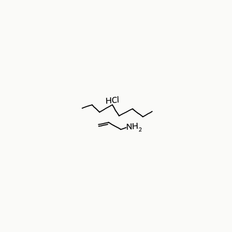 C=CCN.CCCCCCCC.Cl